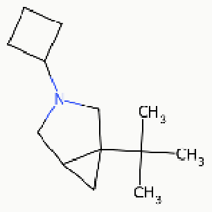 CC(C)(C)C12CC1CN(C1CCC1)C2